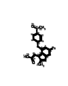 CC1=Cc2cc(F)cc(Cc3ccc([S+](C)[O-])cc3)c2C1CC(=O)O